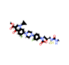 CNC(=O)N(S)C[C@@H]1CN(c2ccc(N3CCN(c4cc5c(cc4F)c(=O)c(C(=O)OC)cn5C4CC4)CC3)c(F)c2)C(=O)O1